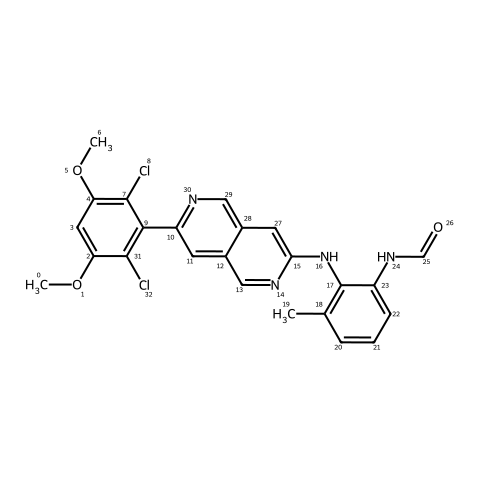 COc1cc(OC)c(Cl)c(-c2cc3cnc(Nc4c(C)cccc4NC=O)cc3cn2)c1Cl